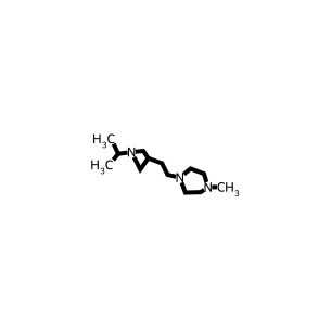 CC(C)N1CC(CCN2CCN(C)CC2)C1